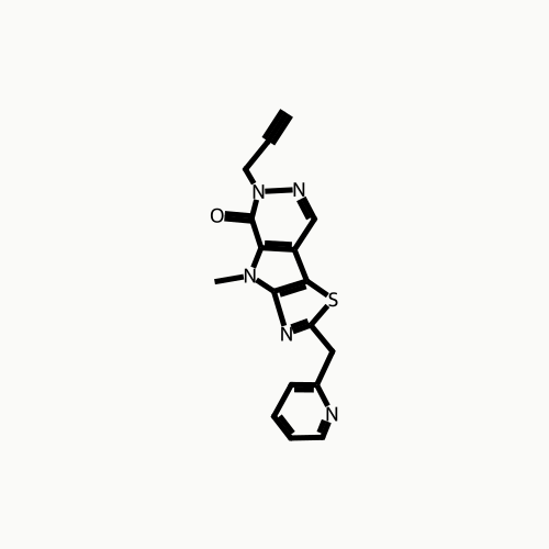 C#CCn1ncc2c3sc(Cc4ccccn4)nc3n(C)c2c1=O